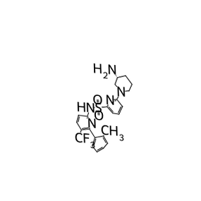 Cc1ccccc1-c1nc(NS(=O)(=O)c2cccc(N3CCC[C@@H](N)C3)n2)ccc1C(F)(F)F